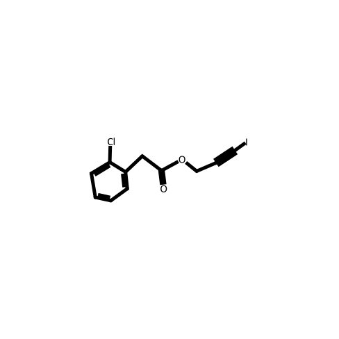 O=C(Cc1ccccc1Cl)OCC#CI